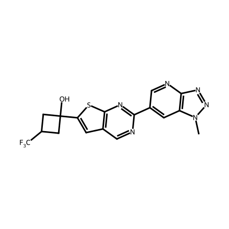 Cn1nnc2ncc(-c3ncc4cc(C5(O)CC(C(F)(F)F)C5)sc4n3)cc21